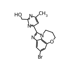 Cc1cc(-c2nc3cc(Br)cc4c3n2CCCO4)nc(CO)n1